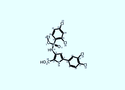 CCOP(=O)(Nc1cc(-c2ccc(Cl)c(Cl)c2)sc1C(=O)O)c1ccc(Cl)cc1Cl